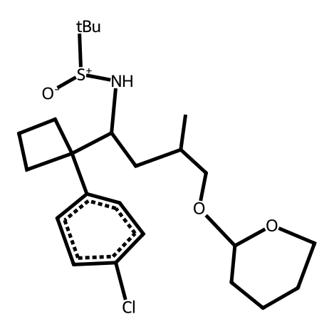 CC(COC1CCCCO1)CC(N[S+]([O-])C(C)(C)C)C1(c2ccc(Cl)cc2)CCC1